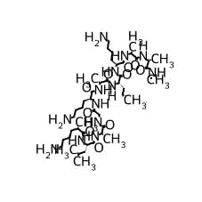 CCC[C@H](NC(=O)[C@H](C)NC(=O)[C@H](CCCCN)NC(=O)CNC(=O)[C@H](C)NC(=O)[C@H](CC(C)C)NC(=O)[C@@H](C)CCCCN)C(=O)N[C@@H](CCCCN)C(=O)N[C@@H](C)C(=O)N[C@@H](C)C(=O)NC